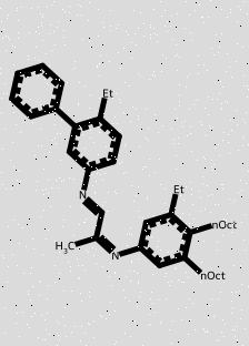 CCCCCCCCc1cc(N=C(C)C=Nc2ccc(CC)c(-c3ccccc3)c2)cc(CC)c1CCCCCCCC